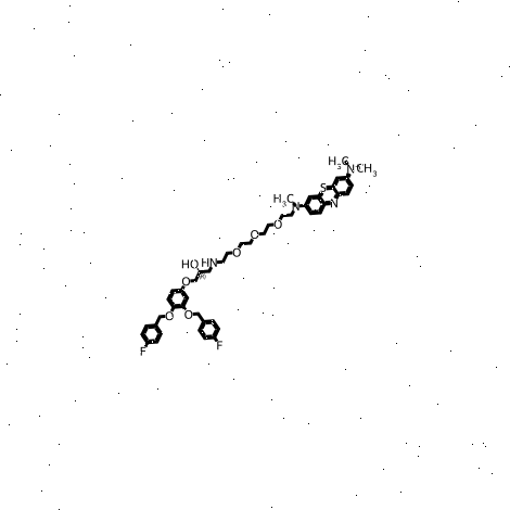 CN(CCOCCOCCOCCNC[C@@H](O)COc1ccc(OCc2ccc(F)cc2)c(OCc2ccc(F)cc2)c1)c1ccc2nc3ccc(=[N+](C)C)cc-3sc2c1